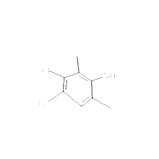 Cc1cc(Br)c(Cl)c(C)c1N